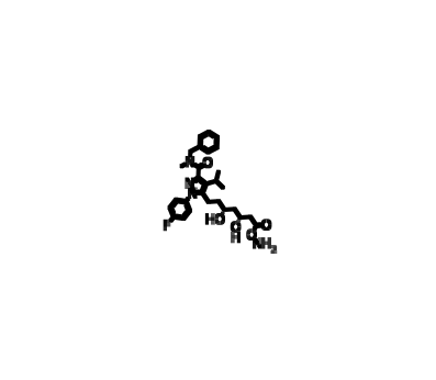 CC(C)c1c(C(=O)N(C)Cc2ccccc2)nn(-c2ccc(F)cc2)c1CC[C@@H](O)C[C@@H](O)CC(=O)ON